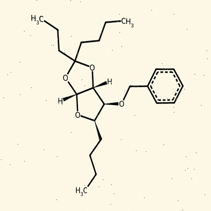 CCCC[C@H]1O[C@@H]2OC(CCC)(CCCC)O[C@@H]2[C@H]1OCc1ccccc1